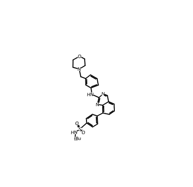 CC(C)(C)NS(=O)(=O)c1ccc(-c2cccc3cnc(Nc4cccc(CN5CCOCC5)c4)nc23)cc1